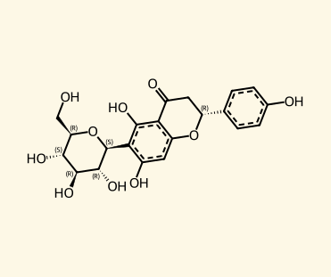 O=C1C[C@H](c2ccc(O)cc2)Oc2cc(O)c([C@@H]3O[C@H](CO)[C@@H](O)[C@H](O)[C@H]3O)c(O)c21